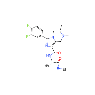 CCNC(=O)[C@@H](NC(=O)c1nc(-c2ccc(F)c(F)c2)n2c1CN(C)C(C)C2)C(C)(C)C